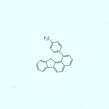 FC(F)(F)c1ccc(-c2cccc3ccc4c(c23)Cc2ccccc2-4)cc1